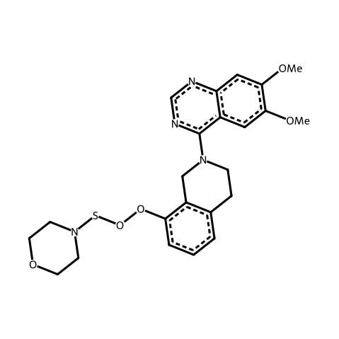 COc1cc2ncnc(N3CCc4cccc(OOSN5CCOCC5)c4C3)c2cc1OC